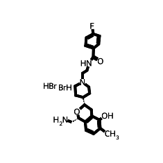 Br.Br.Cc1ccc2c(c1O)C[C@@H](C1CCN(CCNC(=O)c3ccc(F)cc3)CC1)O[C@H]2CN